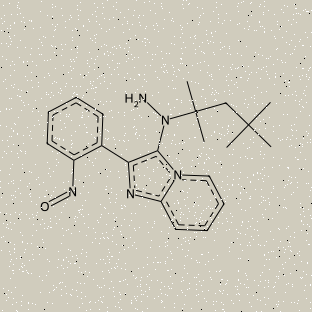 CC(C)(C)CC(C)(C)N(N)c1c(-c2ccccc2N=O)nc2ccccn12